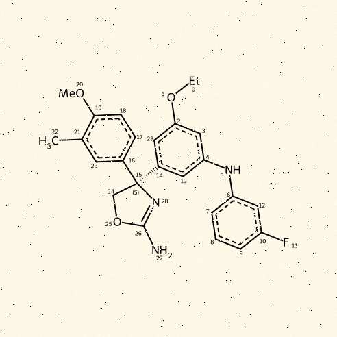 CCOc1cc(Nc2cccc(F)c2)cc([C@@]2(c3ccc(OC)c(C)c3)COC(N)=N2)c1